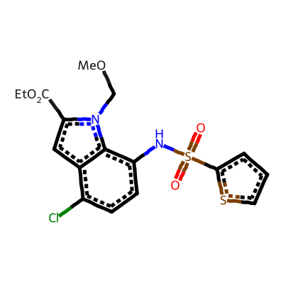 CCOC(=O)c1cc2c(Cl)ccc(NS(=O)(=O)c3cccs3)c2n1COC